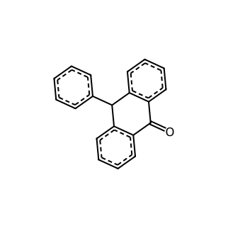 O=C1c2ccccc2C(c2ccccc2)c2ccccc21